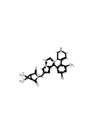 Cc1cc(Cl)cc(-c2ncnn3cc(CN4C(=O)C5C(C4=O)C5(C)C)cc23)c1C1=CCNCC1